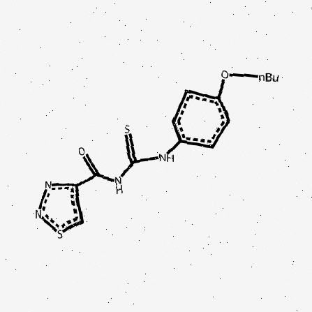 CCCCOc1ccc(NC(=S)NC(=O)c2csnn2)cc1